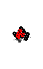 CCCCCCCC1=Cc2c(-c3c4ccccc4cc4ccccc34)ccc(-c3c4ccccc4cc4ccccc34)c2[CH]1[Zr]([CH3])([CH3])(=[SiH2])[CH]1C(CCCCCCC)=Cc2c(-c3c4ccccc4cc4ccccc34)ccc(-c3c4ccccc4cc4ccccc34)c21.[Cl-].[Cl-]